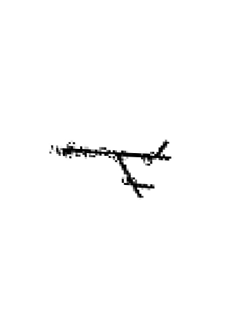 CCCCCCC(CCCC)COC(=O)CCCCCCCOCC(COCCOCCOCCOCCNC(=O)c1c[nH]cn1)OCCCCCCCC(=O)OCC(CCCC)CCCCCC